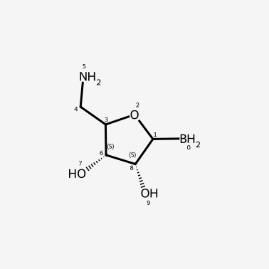 BC1OC(CN)[C@@H](O)[C@H]1O